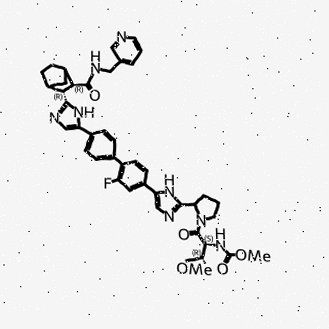 COC(=O)N[C@H](C(=O)N1CCCC1c1ncc(-c2ccc(-c3ccc(-c4cnc([C@@H]5C6CCC(C6)[C@H]5C(=O)NCc5cccnc5)[nH]4)cc3)c(F)c2)[nH]1)[C@@H](C)OC